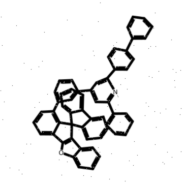 c1ccc(-c2ccc(-c3cc(-c4cccc(-c5cccc6c5C5(c7ccccc7-c7ccccc75)c5c-6oc6ccccc56)c4)cc(-c4ccccc4)n3)cc2)cc1